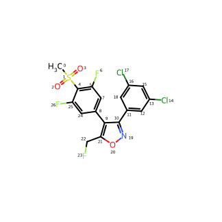 CS(=O)(=O)c1c(F)cc(-c2c(-c3cc(Cl)cc(Cl)c3)noc2CF)cc1F